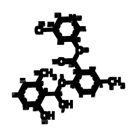 Cc1ccc(OC(O)c2c(C)cccc2O)c(C(=O)Oc2cncc(Cl)c2)c1